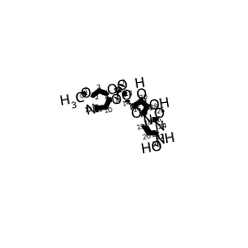 COCCCOP(=O)(OCCC#N)OC[C@H]1O[C@@H](n2ccc(NO)nc2=O)[C@@H](O)[C@H]1O